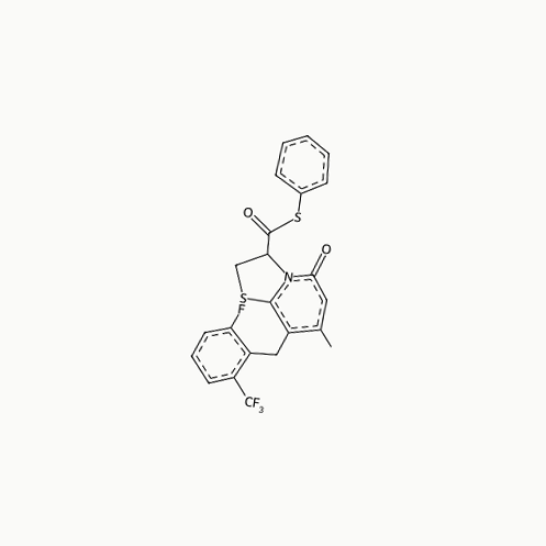 Cc1cc(=O)n2c(c1Cc1c(F)cccc1C(F)(F)F)SCC2C(=O)Sc1ccccc1